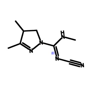 CN/C(=N\C#N)N1CC(C)C(C)=N1